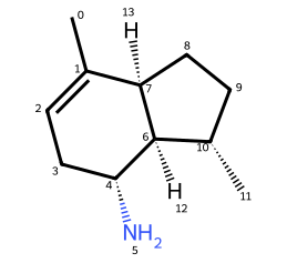 CC1=CC[C@@H](N)[C@H]2[C@@H]1CC[C@@H]2C